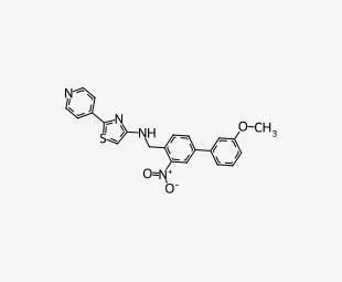 COc1cccc(-c2ccc(CNc3csc(-c4ccncc4)n3)c([N+](=O)[O-])c2)c1